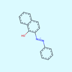 Oc1c(/N=N/c2ccccc2)ccc2ccccc12